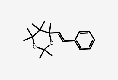 CC1(C)OC(C)(C)C(C)(C)C(C)(/C=C/c2ccccc2)O1